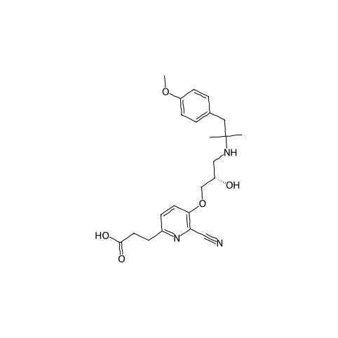 COc1ccc(CC(C)(C)NC[C@H](O)COc2ccc(CCC(=O)O)nc2C#N)cc1